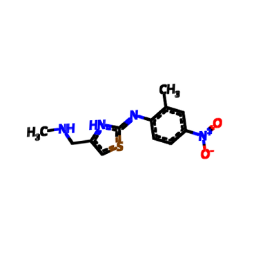 CNCc1csc(=Nc2ccc([N+](=O)[O-])cc2C)[nH]1